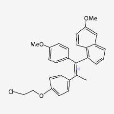 COc1ccc(/C(=C(/C)c2ccc(OCCCl)cc2)c2cccc3cc(OC)ccc23)cc1